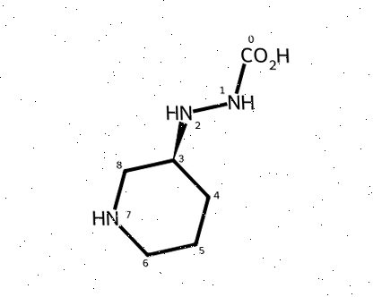 O=C(O)NN[C@H]1CCCNC1